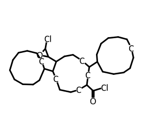 O=C(Cl)C1CCCCC(C2CCCCCCCCCC2)C(C2OC2Cl)CCCC(C2CCCCCCCCCCC2)C1